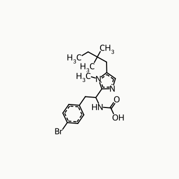 CCC(C)(C)Cc1cnc(C(Cc2ccc(Br)cc2)NC(=O)O)n1C